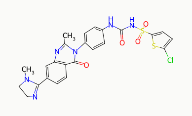 Cc1nc2cc(C3=NCCN3C)ccc2c(=O)n1-c1ccc(NC(=O)NS(=O)(=O)c2ccc(Cl)s2)cc1